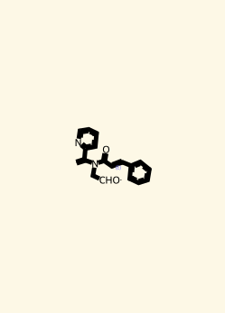 C=C(c1ccccn1)N(C[C]=O)C(=O)/C=C/c1ccccc1